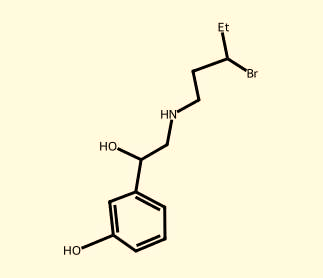 CCC(Br)CCNCC(O)c1cccc(O)c1